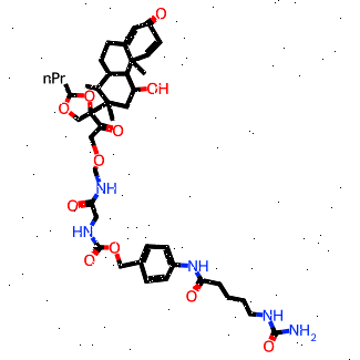 CCCC1OCC(C(=O)COCNC(=O)CNC(=O)OCc2ccc(NC(=O)CCCCNC(N)=O)cc2)(C2(C)CC(O)C3C(CCC4=CC(=O)C=CC43C)C2C)O1